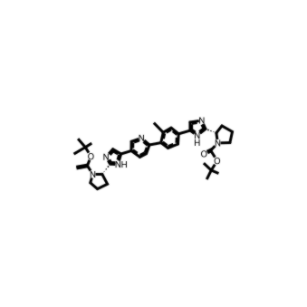 C=C(OC(C)(C)C)N1CCC[C@H]1c1ncc(-c2ccc(-c3ccc(-c4cnc([C@@H]5CCCN5C(=O)OC(C)(C)C)[nH]4)cc3C)nc2)[nH]1